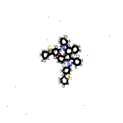 C1=CC2Sc3cc(-n4c5ccccc5c5c6c7ccccc7c7c8ccccc8n(-c8ccc9c(c8)sc8ccccc89)c7c6c6ccccc6c54)ccc3C2C=C1